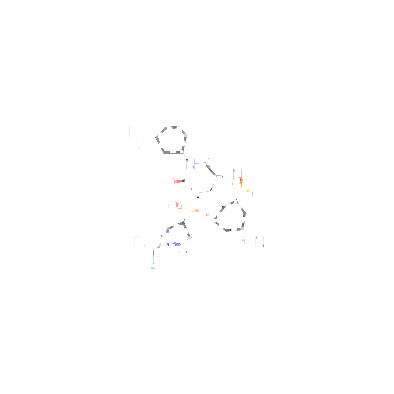 CC1=C(C#N)[C@@H](c2ccc(C#N)cc2S(C)(=O)=O)N(S(=O)(=O)c2cnn(C(F)F)c2)C(=O)N1c1cccc(CF)c1